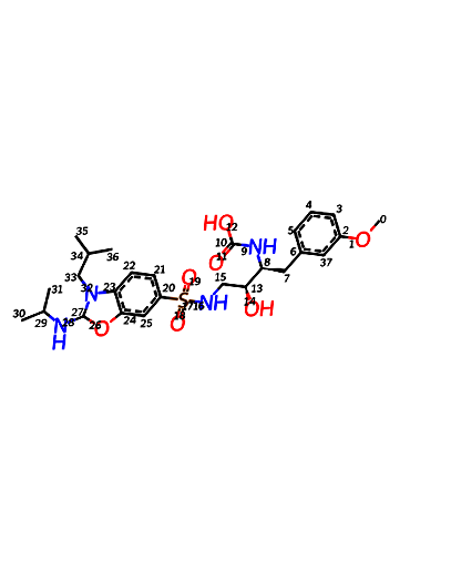 COc1cccc(C[C@H](NC(=O)O)[C@@H](O)CNS(=O)(=O)c2ccc3c(c2)OC(NC(C)C)N3CC(C)C)c1